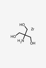 NC(CO)(CO)CO.[Zr]